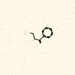 C[C@@H](CO)C(=O)c1ccccc1